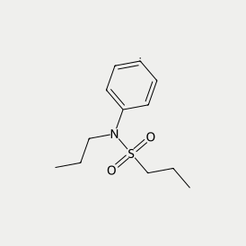 CCCN(c1cc[c]cc1)S(=O)(=O)CCC